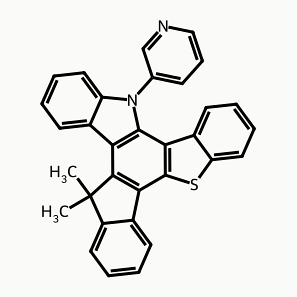 CC1(C)c2ccccc2-c2c1c1c3ccccc3n(-c3cccnc3)c1c1c2sc2ccccc21